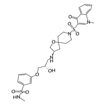 CNS(=O)(=O)c1cccc(OC[C@@H](O)CN[C@H]2COC3(CCN(S(=O)(=O)c4cn(C)c5ccccc5c4=O)CC3)C2)c1